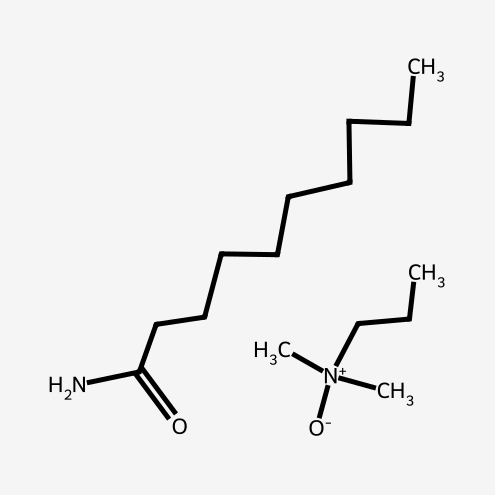 CCCCCCCCCC(N)=O.CCC[N+](C)(C)[O-]